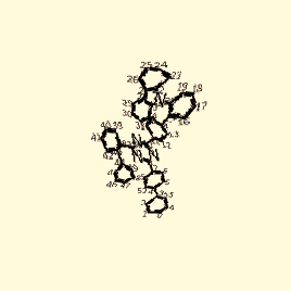 c1ccc(-c2ccc(-c3nc(-c4ccc(-c5ccccc5-n5c6ccccc6c6ccccc65)cc4)nc(-c4ccccc4-c4ccccc4)n3)cc2)cc1